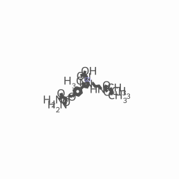 Cn1c(-c2ccc(OC[C@H](ON)C(N)=O)cc2)cn(CCCNC(=O)OC(C)(C)C)/c1=N/C(=O)O